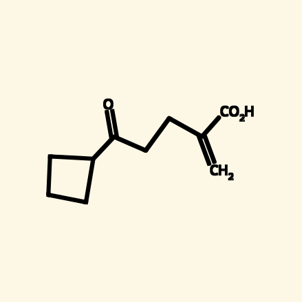 C=C(CCC(=O)C1CCC1)C(=O)O